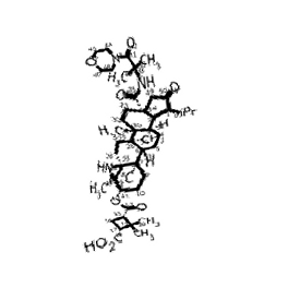 CC(C)C1=C2[C@H]3CC[C@@H]4[C@@]5(C)CC[C@H](OC(=O)[C@H]6C[C@@H](C(=O)O)C6(C)C)[C@@]6(C)N[C@@]56CC[C@@]4(C)[C@]3(C)CC[C@@]2(C(=O)NC(C)(C)C(=O)N2CCOCC2)CC1=O